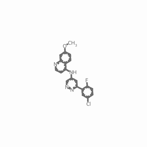 COc1ccc2c(Nc3cnnc(-c4cc(Cl)ccc4F)c3)ccnc2c1